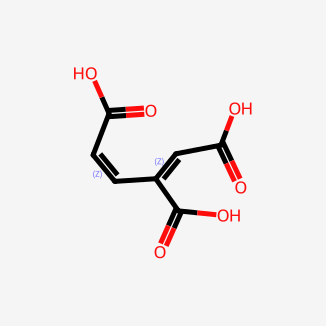 O=C(O)/C=C\C(=C\C(=O)O)C(=O)O